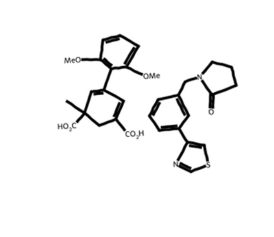 COc1cccc(OC)c1C1=CC(C)(C(=O)O)CC(C(=O)O)=C1.O=C1CCCN1Cc1cccc(-c2cscn2)c1